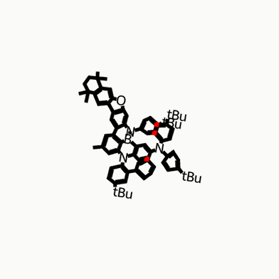 Cc1cc2c3c(c1)N(c1ccc(C(C)(C)C)cc1-c1ccccc1)c1ccc(N(c4ccc(C(C)(C)C)cc4)c4ccc(C(C)(C)C)cc4)cc1B3N(c1ccc(C(C)(C)C)cc1)c1cc3oc4cc5c(cc4c3cc1-2)C(C)(C)CCC5(C)C